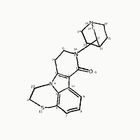 O=C1c2c(n3c4c(cccc24)SCC3)CCN1C1CN2CCC1CC2